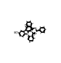 N#Cc1ccc2c(c1)c1ccccc1n2-c1ccccc1-c1nc(-c2ccccc2)nc(-c2ccccc2)n1